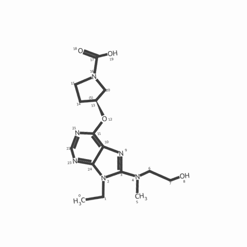 CCn1c(N(C)CCO)nc2c(O[C@H]3CCN(C(=O)O)C3)ncnc21